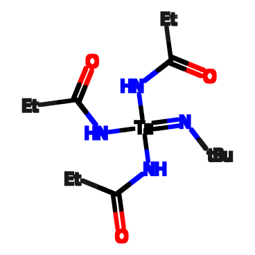 CCC(=O)[NH][Ta](=[N]C(C)(C)C)([NH]C(=O)CC)[NH]C(=O)CC